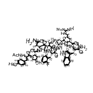 CNC(=N)NCCC[C@H](NC(=O)[C@H](CC(C)C)NC(=O)NNC(=O)[C@H](Cc1ccccc1F)NC(=O)C(NC(=O)[C@H](CC(N)=O)NC(=O)[C@@H]1C[C@@H](O)CN1C(=O)[C@@H](Cc1ccc(O)cc1)NC(C)=O)[C@@H](C)O)C(=O)N[C@@H](Cc1c[nH]c2ccccc12)C(N)=O